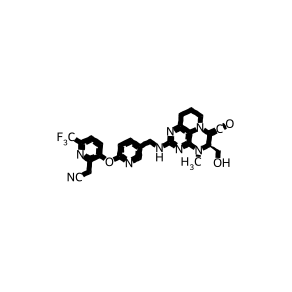 CN1c2nc(NCc3ccc(Oc4ccc(C(F)(F)F)nc4CC#N)nc3)nc3c2N(CCC3)C(=C=O)[C@H]1CO